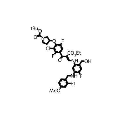 CCOC(=O)/C(=C\Nc1cc(NCc2ccc(OC)cc2CC)c(F)cc1CO)C(=O)c1cc(F)c(OC2CCN(C(=O)OC(C)(C)C)C2)c(Cl)c1F